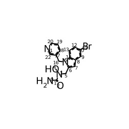 NC(=O)N(O)Cc1cc2cc(Br)ccc2n1Cc1cccnc1